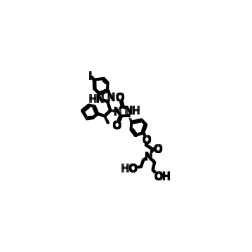 C[C@@H](c1ccccc1)[C@@H](c1nc2ccc(I)cc2[nH]1)N1C(=O)N[C@H](c2ccc(OCC(=O)N(CCO)CCO)cc2)C1=O